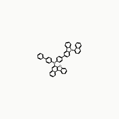 c1ccc(-c2ccc(N(c3ccc(-c4ccc5c(c4)c4ccccc4n5-c4cccc5ccccc45)cc3)c3cc4ccccc4c4c3oc3ccccc34)cc2)cc1